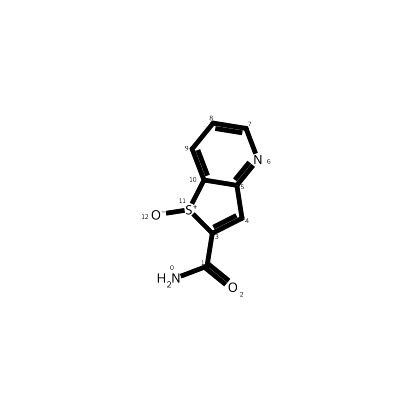 NC(=O)c1cc2ncccc2[s+]1[O-]